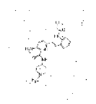 C=CC(=O)Nc1ccccc1/C=C/c1ccc(N)c(C(=O)NC2CCN(C)CC2)n1